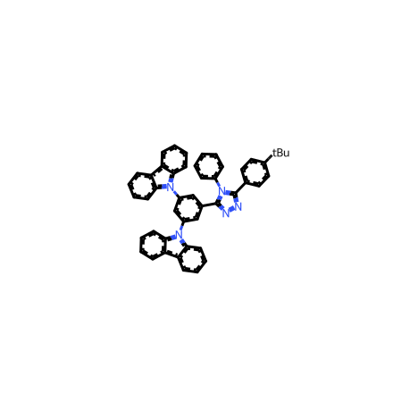 CC(C)(C)c1ccc(-c2nnc(-c3cc(-n4c5ccccc5c5ccccc54)cc(-n4c5ccccc5c5ccccc54)c3)n2-c2ccccc2)cc1